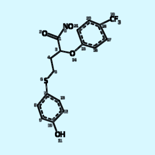 O=NC(=O)C(CCSc1ccc(O)cc1)Oc1ccc(C(F)(F)F)cc1